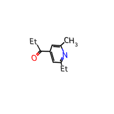 CCC(=O)c1cc(C)nc(CC)c1